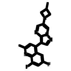 Cc1cc(-c2cnn3cc(N4CC(C)C4)cnc23)c2cc(F)cc(F)c2n1